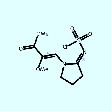 COC(=O)/C(=C/N1CCC/C1=N/S(=O)(=O)Cl)OC